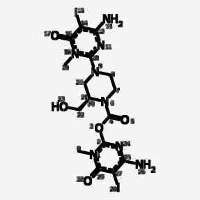 Cn1c(OC(=O)N2CCN(c3nc(N)c(I)c(=O)n3C)C[C@@H]2CO)nc(N)c(I)c1=O